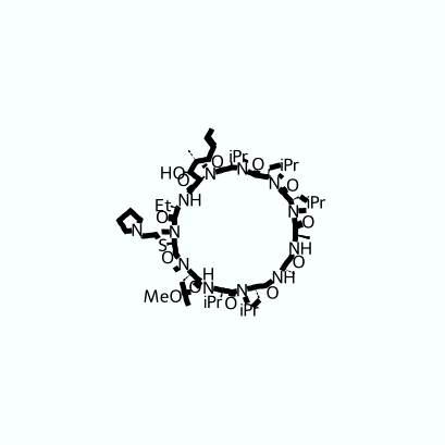 C/C=C/C[C@@H](C)[C@@H](O)[C@H]1C(=O)N[C@@H](CC)C(=O)N(C)[C@H](SCCN2CCCC2)C(=O)N(C)[C@@H](CC(C)(C)OC)C(=O)N[C@@H](C(C)C)C(=O)N(C)[C@@H](CC(C)C)C(=O)N[C@@H](C)C(=O)N[C@H](C)C(=O)N(C)[C@@H](CC(C)C)C(=O)N(C)[C@@H](CC(C)C)C(=O)N(C)[C@@H](C(C)C)C(=O)N1C